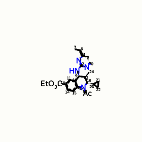 C=N/C(=N\C(C)=C/C)N[C@H]1c2cc(C(=O)OCC)ccc2N(C(C)=O)[C@@H](C2CC2)[C@@H]1C